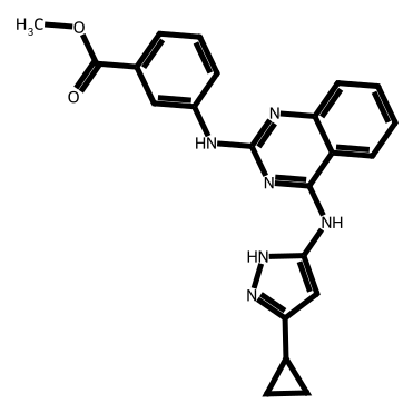 COC(=O)c1cccc(Nc2nc(Nc3cc(C4CC4)n[nH]3)c3ccccc3n2)c1